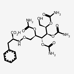 NC(=O)O[C@@H]([C@H](OC(N)=O)[C@@H](CON[C@@H](Cc1ccccc1)C(=O)O)OC(N)=O)[C@@H](CO)OC(N)=O